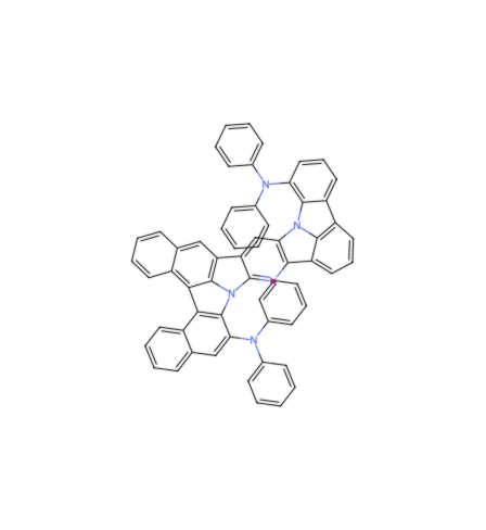 c1ccc(N(c2ccccc2)c2cccc3c4cccc5c6nc7c(cc6n(c23)c45)c2cc3ccccc3c3c4c5ccccc5cc(N(c5ccccc5)c5ccccc5)c4n7c23)cc1